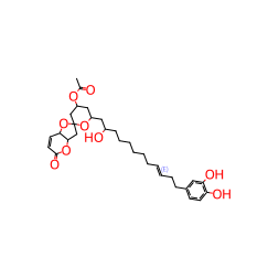 CC(=O)OC1CC(CC(O)CCCCCC/C=C/CCc2ccc(O)c(O)c2)OC2(C1)CC1OC(=O)C=CC1O2